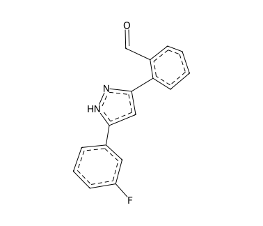 O=Cc1ccccc1-c1cc(-c2cccc(F)c2)[nH]n1